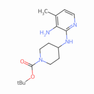 Cc1ccnc(NC2CCN(C(=O)OC(C)(C)C)CC2)c1N